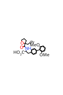 COc1cccc(OC)c1-c1ccc(C[C@H](NC(=O)C2(CC(C)C)CCCO2)C(=O)O)cc1